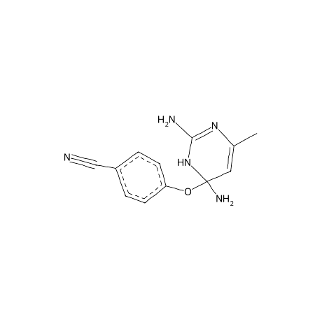 CC1=CC(N)(Oc2ccc(C#N)cc2)NC(N)=N1